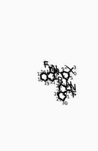 CC(C)(C)c1cc2c3c(c1)-n1nc(F)c4c5ccccc5cc(c41)B3c1cc3ccccc3c3c(F)nn-2c13